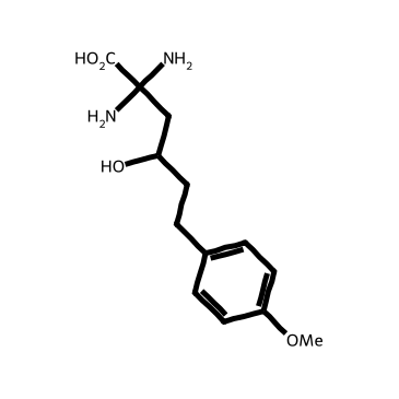 COc1ccc(CCC(O)CC(N)(N)C(=O)O)cc1